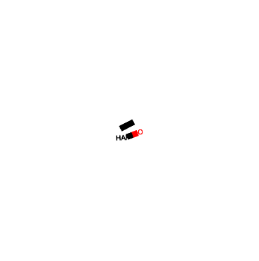 C=C.[O]=[AlH]